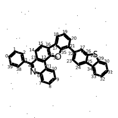 c1ccc(-c2nc3ccccc3c3c2ccc2c4cccc(-c5ccc6c(c5)sc5ccccc56)c4oc23)cc1